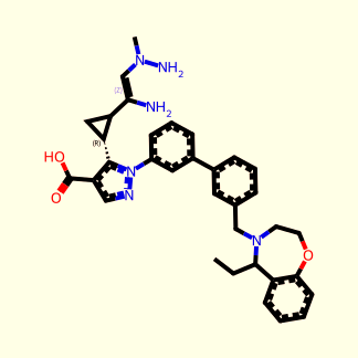 CCC1c2ccccc2OCCN1Cc1cccc(-c2cccc(-n3ncc(C(=O)O)c3[C@@H]3CC3/C(N)=C/N(C)N)c2)c1